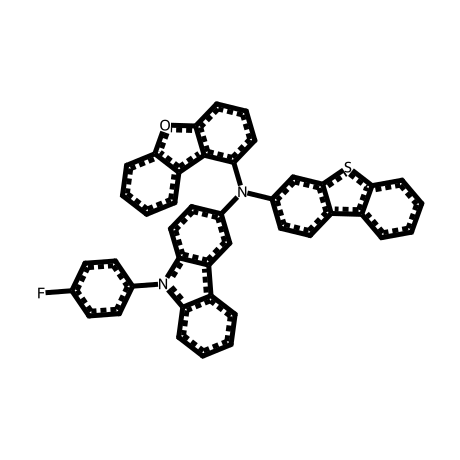 Fc1ccc(-n2c3ccccc3c3cc(N(c4ccc5c(c4)sc4ccccc45)c4cccc5oc6ccccc6c45)ccc32)cc1